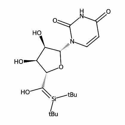 CC(C)(C)[Si](=C(O)[C@H]1O[C@@H](n2ccc(=O)[nH]c2=O)[C@H](O)[C@@H]1O)C(C)(C)C